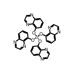 c1cc([O][Zr]([O]c2cccc3nccnc23)([O]c2cccc3nccnc23)[O]c2cccc3nccnc23)c2nccnc2c1